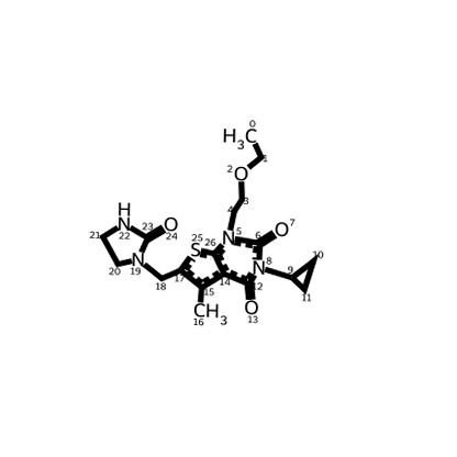 CCOCCn1c(=O)n(C2CC2)c(=O)c2c(C)c(CN3CCNC3=O)sc21